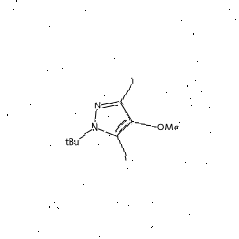 COc1c(I)nn(C(C)(C)C)c1C